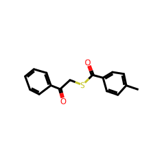 Cc1ccc(C(=O)SCC(=O)c2ccccc2)cc1